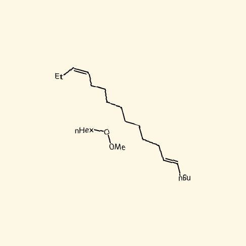 CC/C=C\CCCCCCCC/C=C/CCCC.CCCCCCOOC